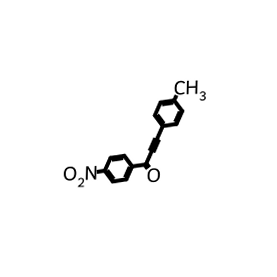 Cc1ccc(C#CC(=O)c2ccc([N+](=O)[O-])cc2)cc1